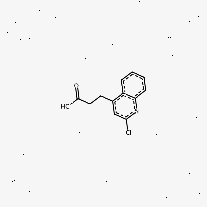 O=C(O)CCc1cc(Cl)nc2ccccc12